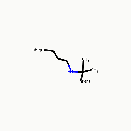 CCCCCCCCCCNC(C)(C)CCCCC